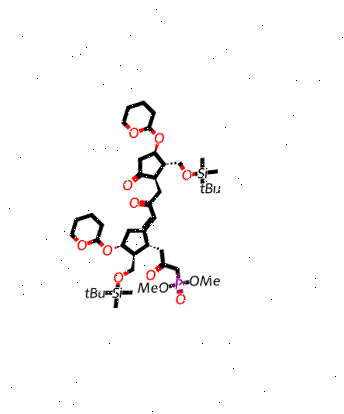 COP(=O)(CC(=O)C[C@H]1/C(=C/C(=O)C[C@H]2C(=O)C[C@@H](OC3CCCCO3)[C@@H]2CO[Si](C)(C)C(C)(C)C)C[C@@H](OC2CCCCO2)[C@@H]1CO[Si](C)(C)C(C)(C)C)OC